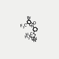 CC(Cc1nncn1C)c1cccc(N2Cc3c(cc(Br)cc3C(F)(F)F)C2=O)c1